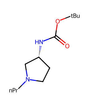 CCCN1CC[C@@H](NC(=O)OC(C)(C)C)C1